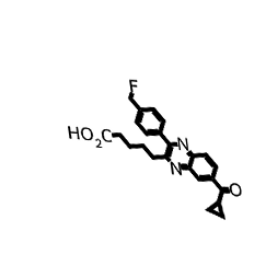 O=C(O)CCCCc1nc2cc(C(=O)C3CC3)ccc2nc1-c1ccc(CF)cc1